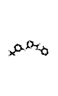 O=C(Nc1ccccc1F)c1cncc(Oc2cccc(C(F)(F)F)c2)n1